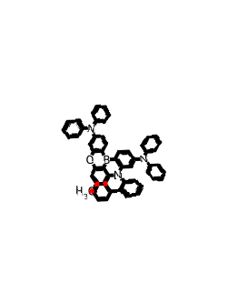 Cc1cc2c3c(c1)N(c1ccccc1-c1ccccc1)c1cc(N(c4ccccc4)c4ccccc4)ccc1B3c1ccc(N(c3ccccc3)c3ccccc3)cc1O2